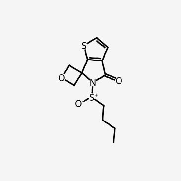 CCCC[S+]([O-])N1C(=O)c2ccsc2C12COC2